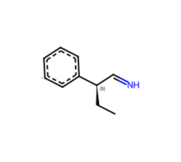 CC[C@H](C=N)c1c[c]ccc1